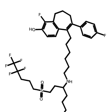 O=S(=O)(CCCC(F)(F)C(F)(F)F)CCC(CCCO)NCCCCCCC1=C(c2ccc(F)cc2)CCCc2c1ccc(O)c2F